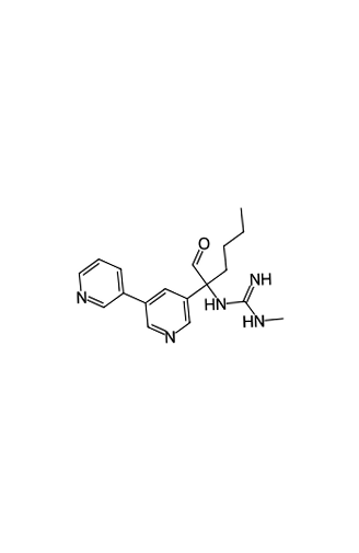 CCCCC(C=O)(NC(=N)NC)c1cncc(-c2cccnc2)c1